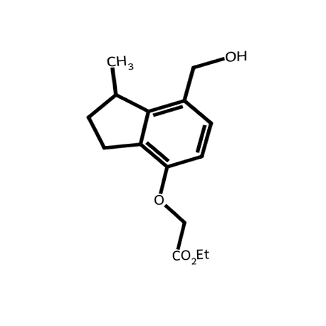 CCOC(=O)COc1ccc(CO)c2c1CCC2C